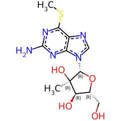 CSc1nc(N)nc2c1ncn2[C@@H]1O[C@H](CO)[C@@H](O)[C@@]1(C)O